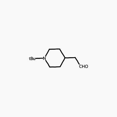 CC(C)(C)N1CCC(CC=O)CC1